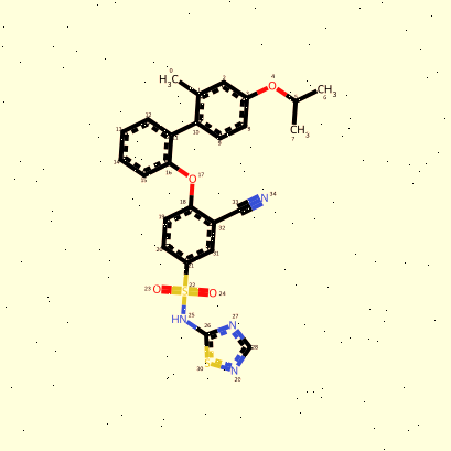 Cc1cc(OC(C)C)ccc1-c1ccccc1Oc1ccc(S(=O)(=O)Nc2ncns2)cc1C#N